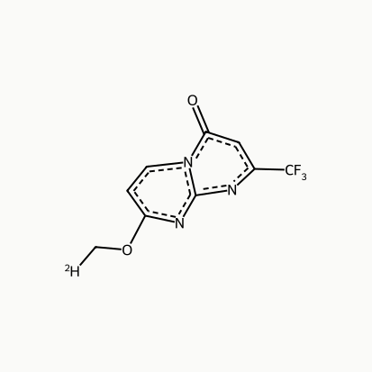 [2H]COc1ccn2c(=O)cc(C(F)(F)F)nc2n1